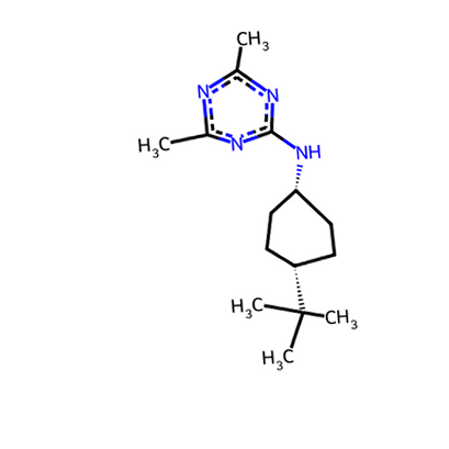 Cc1nc(C)nc(N[C@H]2CC[C@@H](C(C)(C)C)CC2)n1